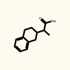 CC(C(=O)O)C1CCc2ccccc2C1